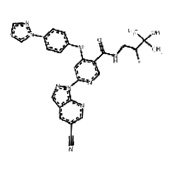 CC(C)(O)C(F)CNC(=O)c1cnc(-n2ncc3cc(C#N)cnc32)cc1Nc1ccc(-n2cncn2)cc1